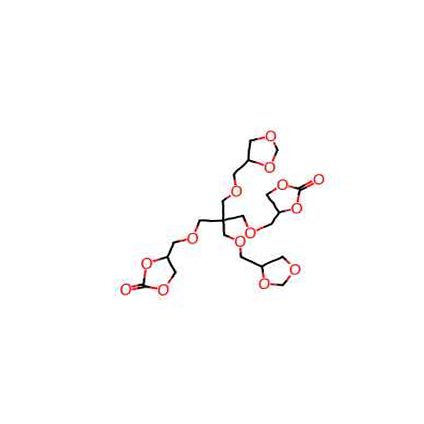 O=C1OCC(COCC(COCC2COCO2)(COCC2COCO2)COCC2COC(=O)O2)O1